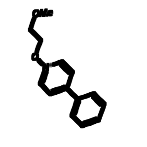 COCCO[n+]1ccc(-c2ccccc2)cc1